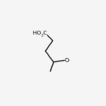 CC([O])CCC(=O)O